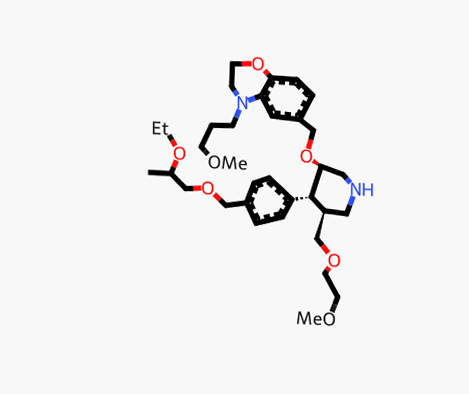 CCOC(C)COCc1ccc([C@H]2[C@H](COCCOC)CNC[C@@H]2OCc2ccc3c(c2)N(CCCOC)CCO3)cc1